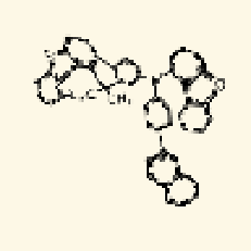 CC1(C)c2cc(N(c3ccc(-c4ccc5ccccc5c4)cc3)c3cccc4oc5ccccc5c34)ccc2-c2ccc3sc4ccccc4c3c21